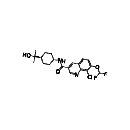 CC(C)(O)[C@H]1CC[C@H](NC(=O)c2cnc3c(Cl)c(OC(F)F)ccc3c2)CC1